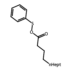 CCCCCCCCCCC(=O)OSc1ccccc1